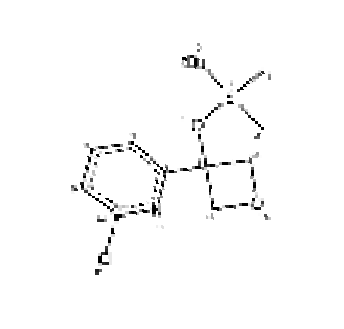 CC(C)(C)[Si](C)(C)OC1(c2cccc(Cl)n2)COC1